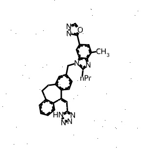 CCCc1nc2c(C)cc(-c3nnco3)cc2n1Cc1ccc2c(c1)CCc1ccccc1C2=Cc1nnn[nH]1